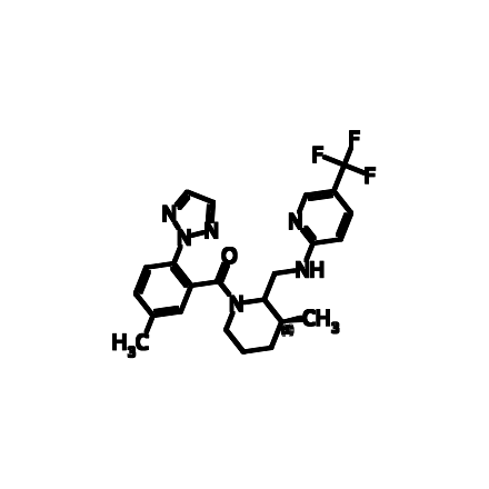 Cc1ccc(-n2nccn2)c(C(=O)N2CCC[C@H](C)C2CNc2ccc(C(F)(F)F)cn2)c1